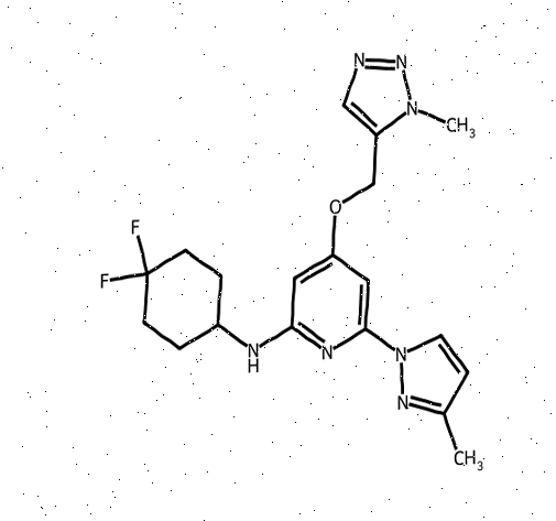 Cc1ccn(-c2cc(OCc3cnnn3C)cc(NC3CCC(F)(F)CC3)n2)n1